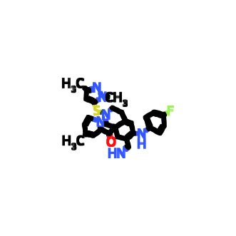 Cc1ccnc(C(=O)C23CC(C=N)=C(Nc4ccc(F)cc4)C=C2CCN(Sc2cc(C)nn2C)C3)c1